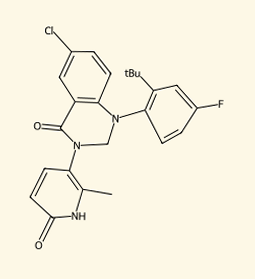 Cc1[nH]c(=O)ccc1N1CN(c2ccc(F)cc2C(C)(C)C)c2ccc(Cl)cc2C1=O